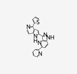 c1ccc(-c2ccc3[nH]nc(-c4cc5c(-c6cccs6)nccc5[nH]4)c3n2)nc1